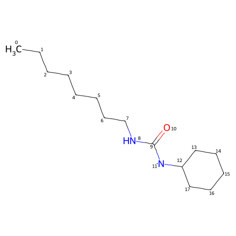 CCCCCCCCNC(=O)[N]C1CCCCC1